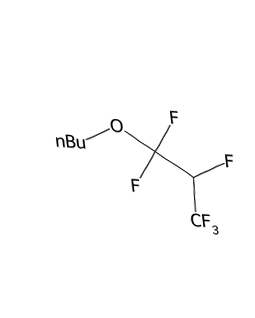 [CH2]CCCOC(F)(F)C(F)C(F)(F)F